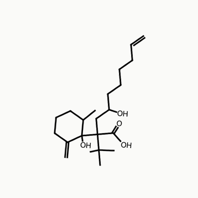 C=CCCCCC(O)CC(C(=O)O)(C(C)(C)C)C1(O)C(=C)CCCC1C